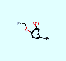 CC(C)c1ccc(OCC(C)(C)C)c(O)c1